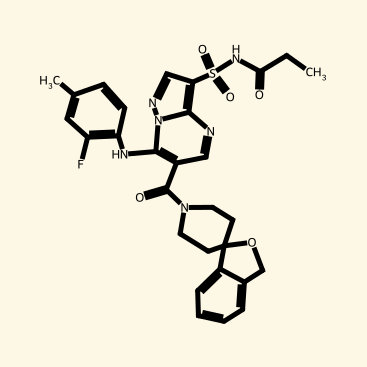 CCC(=O)NS(=O)(=O)c1cnn2c(Nc3ccc(C)cc3F)c(C(=O)N3CCC4(CC3)OCc3ccccc34)cnc12